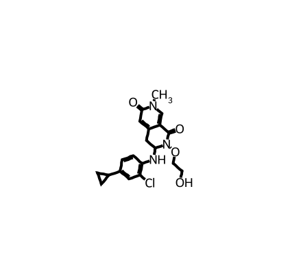 Cn1cc2c(cc1=O)CC(Nc1ccc(C3CC3)cc1Cl)N(OCCO)C2=O